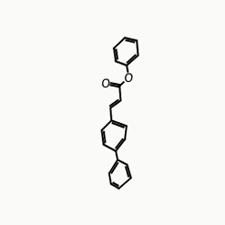 O=C(C=Cc1ccc(-c2ccccc2)cc1)Oc1ccccc1